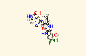 COc1c(Cl)c(F)cc2[nH]c(C(=O)N[C@@H](CC3CC3)C(=O)N[C@H](C#N)C[C@@H]3CC(C)(C)NC3O)cc12